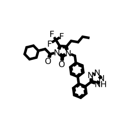 CCCCc1c(C(F)(F)F)n(C(=O)CC2CCCCC2)c(=O)n1Cc1ccc(-c2ccccc2-c2nnn[nH]2)cc1